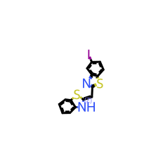 Ic1ccc2sc(/C=C3/Nc4ccccc4S3)nc2c1